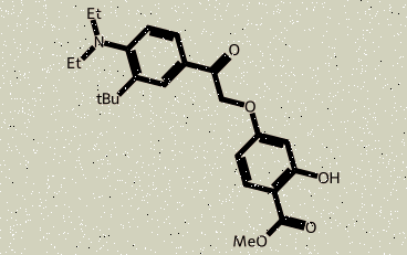 CCN(CC)c1ccc(C(=O)COc2ccc(C(=O)OC)c(O)c2)cc1C(C)(C)C